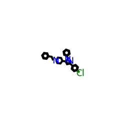 Clc1ccc(-c2cc(C3CCN(CCc4ccccc4)CC3)n(-c3ccccc3)n2)cc1